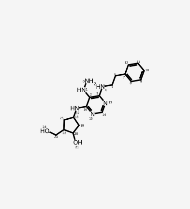 NNc1c(NCCc2ccccc2)ncnc1NC1CC(O)C(CO)C1